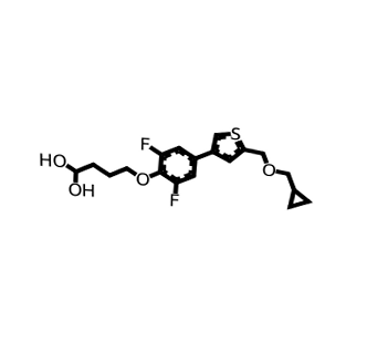 OC(O)CCCOc1c(F)cc(-c2csc(COCC3CC3)c2)cc1F